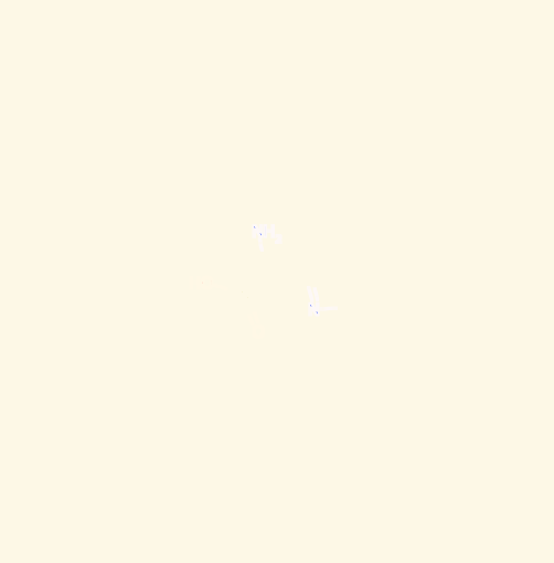 NC(c1nccs1)S(=O)O